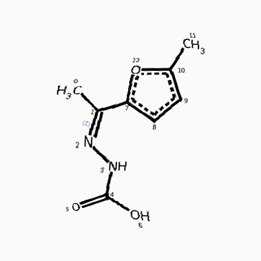 C/C(=N/NC(=O)O)c1ccc(C)o1